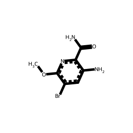 COc1nc(C(N)=O)c(N)cc1Br